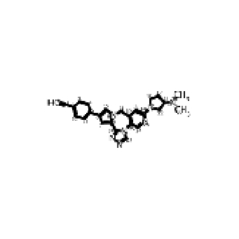 C#Cc1ccc(-c2cc3n(c2)Cc2cc(N4CCC(N(C)C)C4)ncc2-n2cnnc2-3)cc1